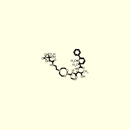 CC(C)C[C@@H](NC(=O)[C@H](NC(=O)C1(C)C=CC=C(c2ccccc2)N1C)C(C)O)B1OCCN(CCNC(=O)CC(O)(C(=O)O)P(=O)(O)O)CCO1